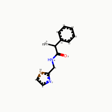 CCCC(C(=O)NCc1nccs1)c1ccccc1